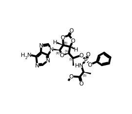 COC(=O)[C@H](C)NP(=O)(Oc1ccccc1)O[C@@H](C)[C@H]1O[C@@H](n2cnc3c(N)ncnc32)[C@@H]2OC(=O)O[C@@H]21